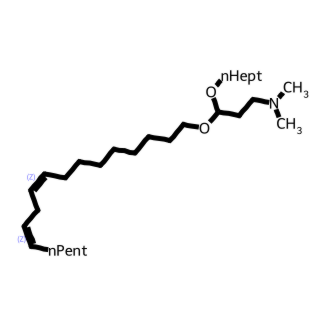 CCCCC/C=C\C/C=C\CCCCCCCCOC(CCN(C)C)OCCCCCCC